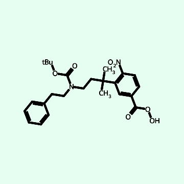 CC(C)(C)OC(=O)N(CCc1ccccc1)CCC(C)(C)c1cc(C(=O)OO)ccc1[N+](=O)[O-]